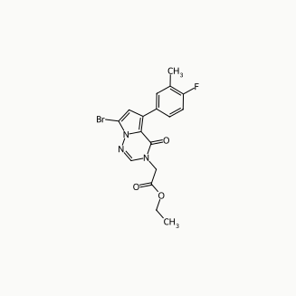 CCOC(=O)Cn1cnn2c(Br)cc(-c3ccc(F)c(C)c3)c2c1=O